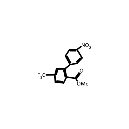 COC(=O)c1ccc(C(F)(F)F)cc1-c1ccc([N+](=O)[O-])cc1